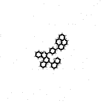 c1cnc2c(-c3cc4c(-c5ccc(-c6ccc7ccc8cccc9ccc6c7c89)cc5)nc5ccccc5c4c4ccccc34)cccc2c1